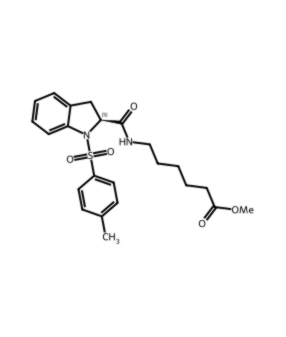 COC(=O)CCCCCNC(=O)[C@@H]1Cc2ccccc2N1S(=O)(=O)c1ccc(C)cc1